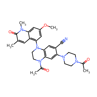 COc1cc(N2CCN(C(C)=O)c3cc(N4CCN(C(C)=O)CC4)c(C#N)cc32)c2cc(C)c(=O)n(C)c2c1